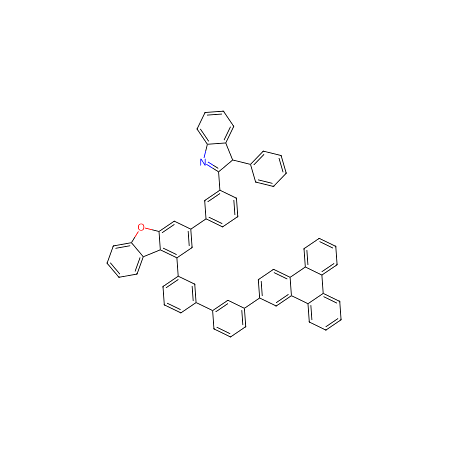 c1ccc(C2C(c3cccc(-c4cc(-c5cccc(-c6cccc(-c7ccc8c9ccccc9c9ccccc9c8c7)c6)c5)c5c(c4)oc4ccccc45)c3)=Nc3ccccc32)cc1